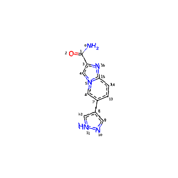 NC(=O)c1cn2cc(-c3cn[nH]c3)ccc2n1